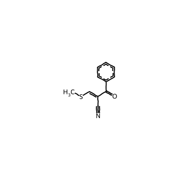 CSC=C(C#N)C(=O)c1ccccc1